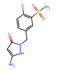 CS(=O)(=O)c1cc(Cn2[nH]c(N)cc2=O)ccc1Cl